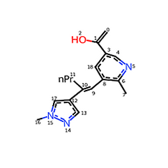 C=C(O)c1cnc(C)c(/C=C(\CCC)c2cnn(C)c2)c1